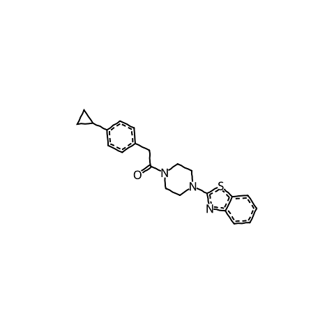 O=C(Cc1ccc(C2CC2)cc1)N1CCN(c2nc3ccccc3s2)CC1